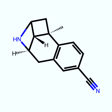 C[C@]12CC3N[C@H](Cc4cc(C#N)ccc41)[C@H]32